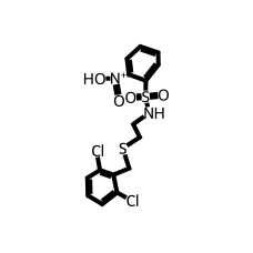 O=[N+](O)c1ccccc1S(=O)(=O)NCCSCc1c(Cl)cccc1Cl